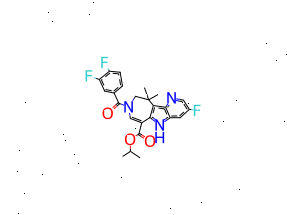 CC(C)OC(=O)C1=CN(C(=O)c2ccc(F)c(F)c2)CC(C)(C)c2c1[nH]c1cc(F)cnc21